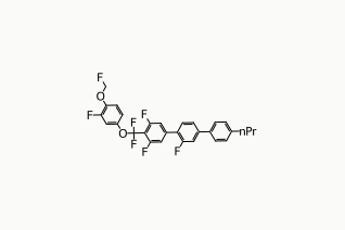 CCCc1ccc(-c2ccc(-c3cc(F)c(C(F)(F)Oc4ccc(OCF)c(F)c4)c(F)c3)c(F)c2)cc1